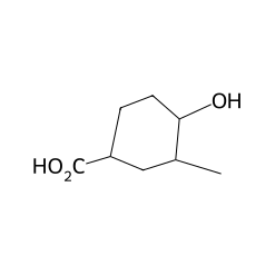 CC1CC(C(=O)O)CCC1O